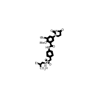 CCC(CNS(=O)(=O)Cc1ccc(NC(=O)c2cc(N3CCC(=O)NC3=O)cc(C(C)(C)C)c2OC)cc1)C(=O)O